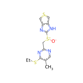 CCSc1nc(C[S+]([O-])c2nc3cscc3[nH]2)ncc1C